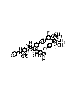 Cc1c(S(C)(=O)=O)c(-c2cc(F)cc(N3CCN(c4ccc(C(=O)NS(=O)(=O)c5ccc(NCC6CCOCC6)c([N+](=O)[O-])c5)c(-n5c6cc7cc[nH]c7nc6c(=O)n5C)c4)CC3)c2)c(-c2ccc(Cl)cc2)n1C(C)C